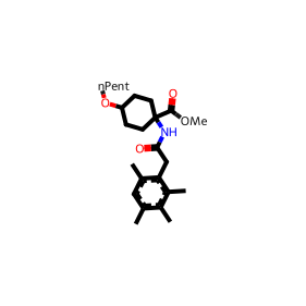 CCCCCOC1CCC(NC(=O)Cc2c(C)cc(C)c(C)c2C)(C(=O)OC)CC1